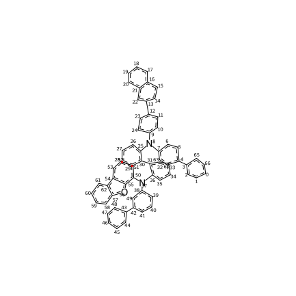 c1ccc(-c2ccc(N(c3ccc(-c4ccc5ccccc5c4)cc3)c3ccccc3-c3ccccc3N(c3cccc(-c4ccccc4)c3)c3cccc4c3oc3ccccc34)cc2)cc1